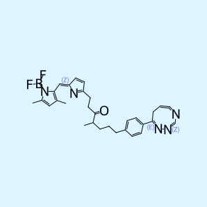 Cc1cc(C)n(B(F)F)c1/C=C1/C=CC(CCC(=O)C(C)CCCc2ccc(/C3=N/N=C\N=C=CC3)cc2)=N1